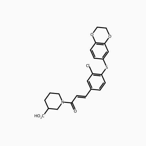 O=C(O)C1CCCN(C(=O)C=Cc2ccc(Sc3ccc4c(c3)OCCO4)c(Cl)c2)C1